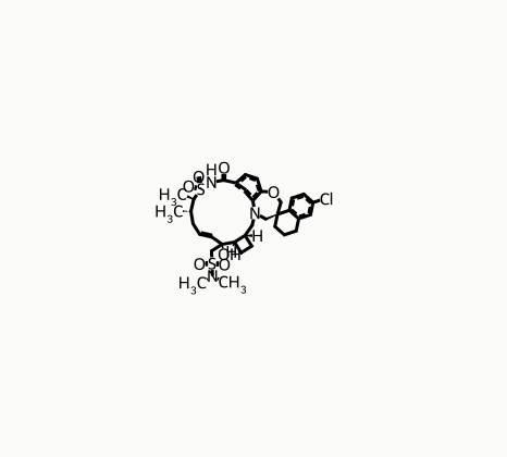 C[C@@H]1[C@@H](C)C/C=C/[C@](O)(CS(=O)(=O)N(C)C)[C@@H]2CC[C@H]2CN2C[C@@]3(CCCc4cc(Cl)ccc43)COc3ccc(cc32)C(=O)NS1(=O)=O